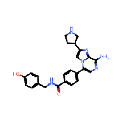 Nc1ncc(-c2ccc(C(=O)NCc3ccc(O)cc3)cc2)n2cc(C3CCNC3)nc12